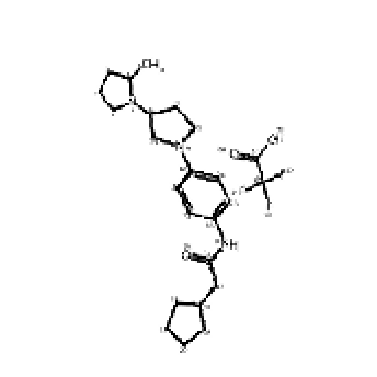 CC1CCCN1C1CCN(c2ccc(NC(=O)CC3CCCC3)cc2)C1.O=C(O)C(F)(F)F